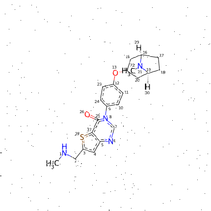 CNCc1cc2ncn(-c3ccc(O[C@@H]4C[C@H]5CC[C@@H](C4)N5C)cc3)c(=O)c2s1